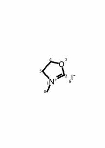 C[N+]1=COCC1.[I-]